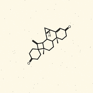 C=C1C2C3C(CC[C@]2(C)C12CCC(=O)CC2)[C@@]1(C)CCC(=O)C=C1[C@@H]1C[C@H]31